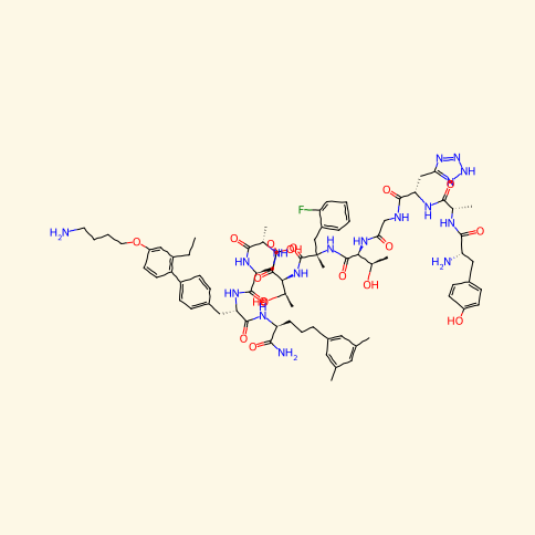 CCc1cc(OCCCCN)ccc1-c1ccc(C[C@H](NC(=O)[C@H](CC(=O)O)NC(=O)[C@H](C)NC(=O)[C@@H](NC(=O)[C@](C)(Cc2ccccc2F)NC(=O)[C@@H](NC(=O)CNC(=O)[C@H](Cc2nn[nH]n2)NC(=O)[C@H](C)NC(=O)[C@@H](N)Cc2ccc(O)cc2)[C@@H](C)O)[C@@H](C)O)C(=O)N[C@@H](CCCc2cc(C)cc(C)c2)C(N)=O)cc1